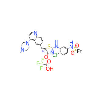 CCS(=O)(=O)Nc1ccc(Cl)c(NC2=NC(=O)/C(=C/c3ccc4nccc(N5CCN(C)CC5)c4c3)S2)c1.O=C(O)C(F)(F)F